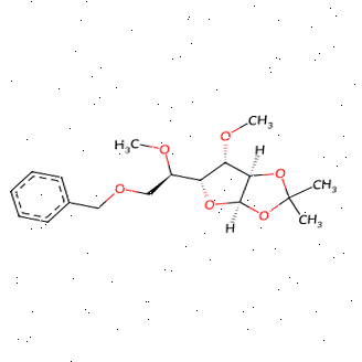 CO[C@@H]1[C@H]2OC(C)(C)O[C@H]2O[C@@H]1[C@@H](COCc1ccccc1)OC